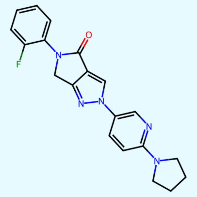 O=C1c2cn(-c3ccc(N4CCCC4)nc3)nc2CN1c1ccccc1F